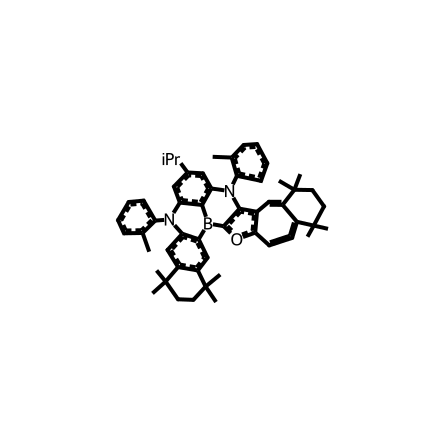 Cc1ccccc1N1c2cc3c(cc2B2c4oc5c(c4N(c4ccccc4C)c4cc(C(C)C)cc1c42)C=C1C(=C=C5)C(C)(C)CCC1(C)C)C(C)(C)CCC3(C)C